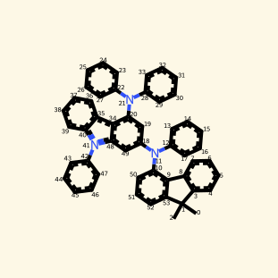 CC1(C)c2ccccc2-c2c(N(c3ccccc3)c3cc(N(c4ccccc4)c4ccccc4)c4c5ccccc5n(-c5ccccc5)c4c3)cccc21